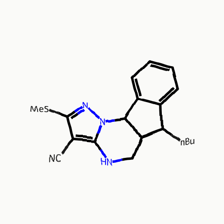 CCCCC1c2ccccc2C2C1CNc1c(C#N)c(SC)nn12